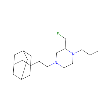 CCCN1CCN(CCC23CC4CC(CC(C4)C2)C3)CC1CF